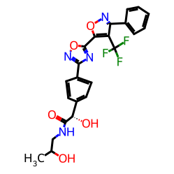 CC(O)CNC(=O)[C@@H](O)c1ccc(-c2noc(-c3onc(-c4ccccc4)c3C(F)(F)F)n2)cc1